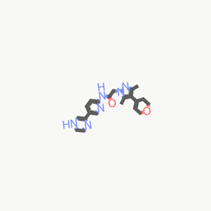 Cc1nn(CC(=O)Nc2ccc(C3=CNCC=N3)cn2)c(C)c1C1=CCOCC1